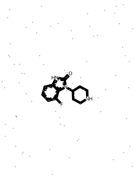 O=c1[nH]c2cccc(F)c2n1C1CCNCC1